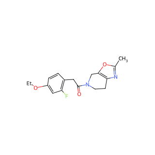 CCOc1ccc(CC(=O)N2CCc3nc(C)oc3C2)c(F)c1